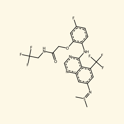 CS(C)=Nc1cc(C(F)(F)F)c2c(Nc3ccc(F)cc3OCC(=O)NCC(F)(F)F)ncnc2c1